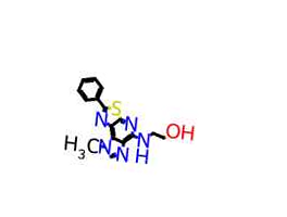 Cn1cnc2c(NCCO)nc3sc(-c4ccccc4)nc3c21